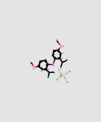 COc1ccc([I+]c2ccc(OC)cc2C(C)C)c(C(C)C)c1.F[B-](F)(F)F